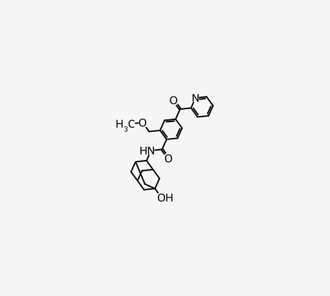 COCc1cc(C(=O)c2ccccn2)ccc1C(=O)NC1C2CC3CC1CC(O)(C3)C2